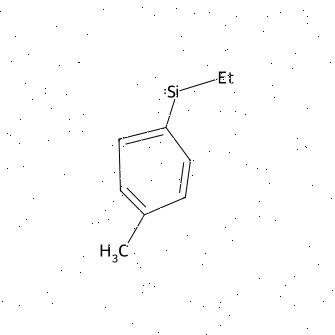 CC[Si]c1ccc(C)cc1